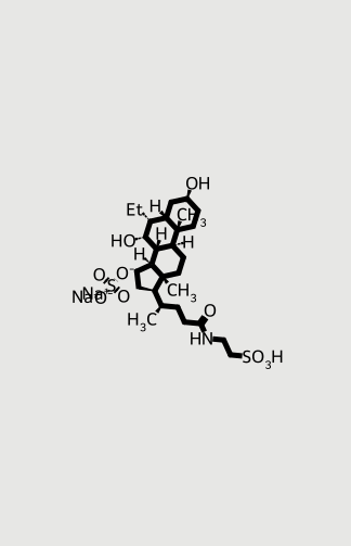 CC[C@H]1[C@@H](O)[C@@H]2[C@H](CC[C@]3(C)[C@@H]([C@H](C)CCC(=O)NCCS(=O)(=O)O)CC[C@@H]23)[C@@]2(C)CC[C@H](O)C[C@@H]12.O=S(=O)([O-])[O-].[Na+].[Na+]